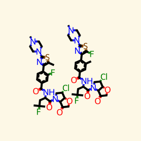 Cc1cc(C(=O)NC(CC(C)(C)F)C(=O)N2CC(Cl)C3OCC(=O)C32)ccc1-c1nc(N2CCN(C)CC2)sc1F.Cc1sc(N2CCN(C)CC2)nc1-c1ccc(C(=O)NC(CC(C)(C)F)C(=O)N2CC(Cl)C3OCC(=O)C32)cc1F